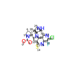 COC(=O)N1CCC[C@@H]1c1cc2c(SC)nc3c(F)c(Cl)ncc3c2n1[C@H]1[C@H](C)CN[C@@H]1C